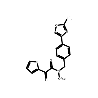 CON(Cc1ccc(-c2noc(C(F)(F)F)n2)cc1)C(=O)C(=O)c1ccco1